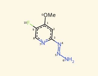 COc1cc(N=NN)ncc1F